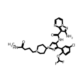 CNC(=O)CCCN1CCC(n2cc(NC(=O)c3c(N)nn4cccnc34)c(-c3cc(Cl)ccc3OC(F)F)n2)CC1